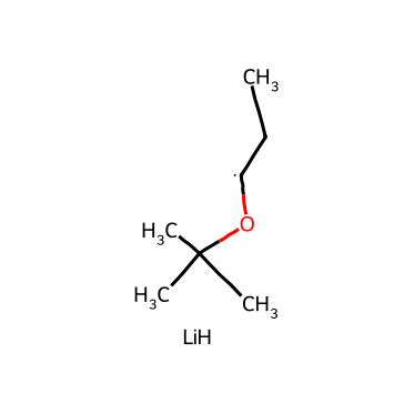 CC[CH]OC(C)(C)C.[LiH]